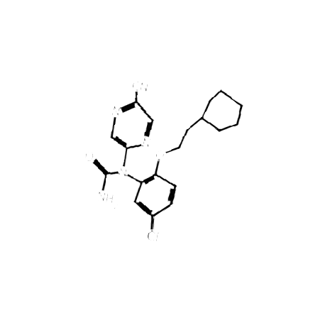 N#Cc1cnc(N(C(N)=O)c2cc(Cl)ccc2OCCC2CCCCC2)cn1